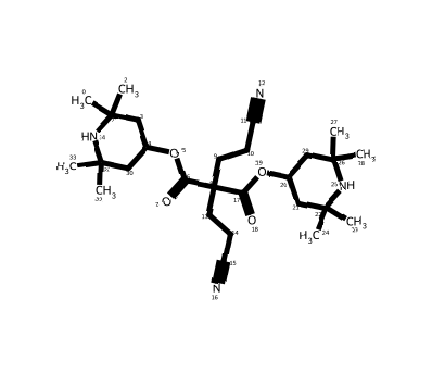 CC1(C)CC(OC(=O)C(CCC#N)(CCC#N)C(=O)OC2CC(C)(C)NC(C)(C)C2)CC(C)(C)N1